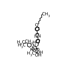 CCCCCCCOc1ccc(-c2cnc(-c3ccc(C[C@H](NC(=O)[C@H]4CC[C@H](C(C)(C)C)CC4)C(=O)N[C@H](C)C(O)O)cc3)nc2)cc1